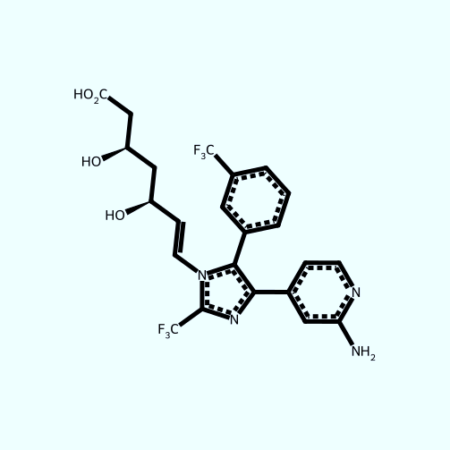 Nc1cc(-c2nc(C(F)(F)F)n(/C=C/[C@@H](O)C[C@@H](O)CC(=O)O)c2-c2cccc(C(F)(F)F)c2)ccn1